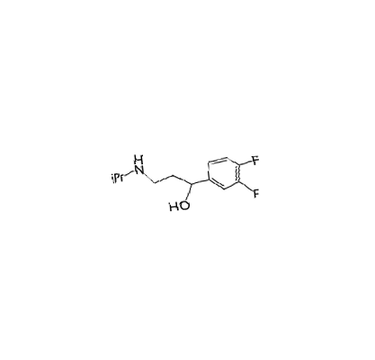 CC(C)NCCC(O)c1ccc(F)c(F)c1